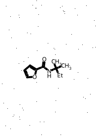 CCC(C)(C)NC(=O)c1ccco1